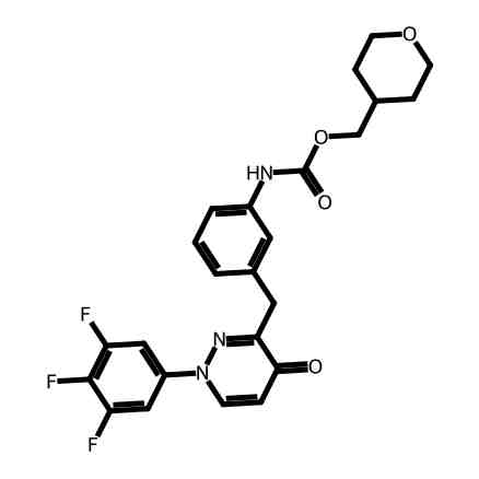 O=C(Nc1cccc(Cc2nn(-c3cc(F)c(F)c(F)c3)ccc2=O)c1)OCC1CCOCC1